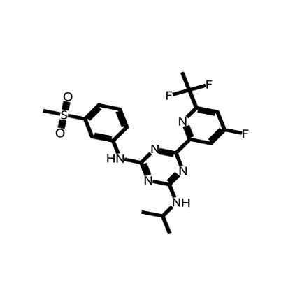 CC(C)Nc1nc(Nc2cccc(S(C)(=O)=O)c2)nc(-c2cc(F)cc(C(C)(F)F)n2)n1